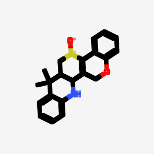 CC1(C)c2ccccc2NC2C3=C(c4ccccc4OC3)[S+]([O-])CC21